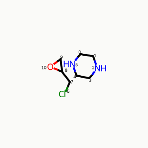 C1CNCCN1.ClCC1CO1